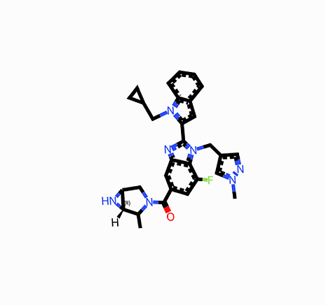 CC1[C@@H]2NC2CN1C(=O)c1cc(F)c2c(c1)nc(-c1cc3ccccc3n1CC1CC1)n2Cc1cnn(C)c1